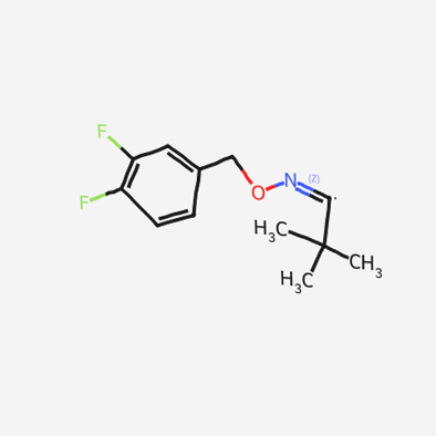 CC(C)(C)/[C]=N\OCc1ccc(F)c(F)c1